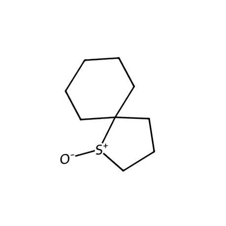 [O-][S+]1CCCC12CCCCC2